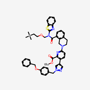 CC(C)(C)OC(=O)c1nc(N2CCc3cccc(C(=O)N(COCC[Si](C)(C)C)c4nc5ccccc5s4)c3C2)ccc1-c1cnn(Cc2ccc(OCc3ccccc3)cc2)c1